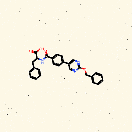 O=C(NC(Cc1ccccc1)C(=O)O)c1ccc(-c2cnc(OCc3ccccc3)nc2)cc1